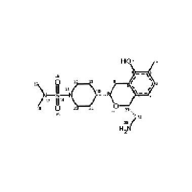 Cc1ccc2c(c1O)C[C@@H](C1CCN(S(=O)(=O)N(C)C)CC1)O[C@H]2CN